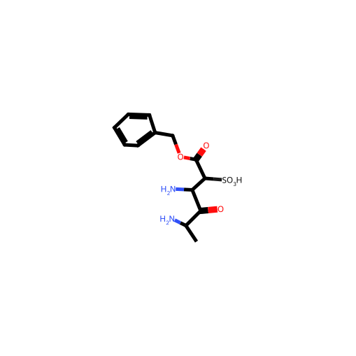 CC(N)C(=O)C(N)C(C(=O)OCc1ccccc1)S(=O)(=O)O